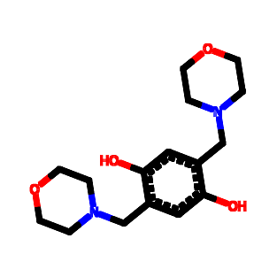 Oc1cc(CN2CCOCC2)c(O)cc1CN1CCOCC1